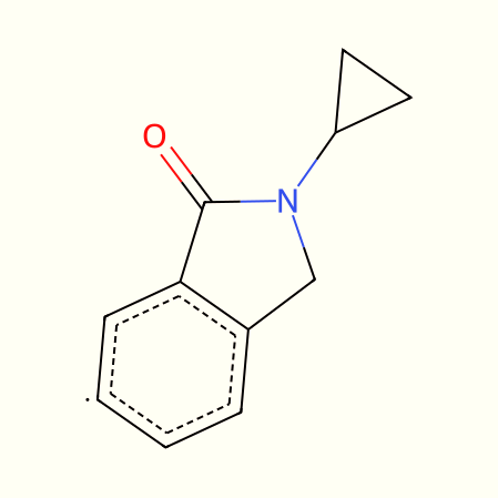 O=C1c2c[c]ccc2CN1C1CC1